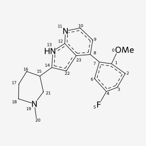 COc1ccc(F)cc1-c1ccnc2[nH]c(C3CCCN(C)C3)cc12